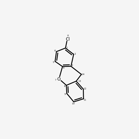 Clc1[c]c2c(cc1)Oc1ccccc1C2